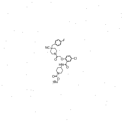 CC(C)(C)OC(=O)N1CCC(NC(=O)c2cc(Cl)ccc2OCC(=O)N2CCC(C#N)(Cc3ccc(F)cc3)CC2)CC1